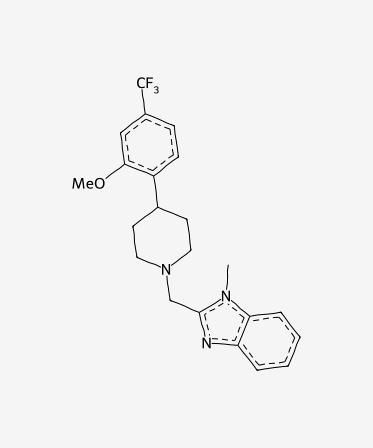 COc1cc(C(F)(F)F)ccc1C1CCN(Cc2nc3ccccc3n2C)CC1